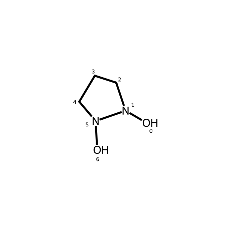 ON1CCCN1O